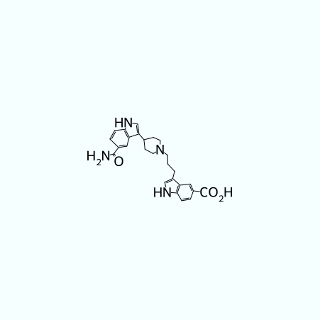 NC(=O)c1ccc2[nH]cc(C3CCN(CCCc4c[nH]c5ccc(C(=O)O)cc45)CC3)c2c1